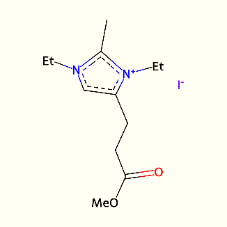 CCn1cc(CCC(=O)OC)[n+](CC)c1C.[I-]